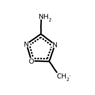 [CH2]c1nc(N)no1